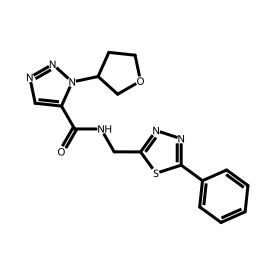 O=C(NCc1nnc(-c2ccccc2)s1)c1cnnn1C1CCOC1